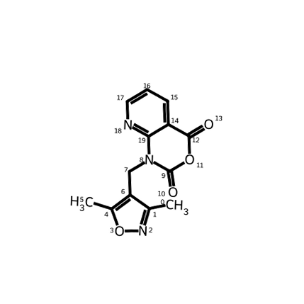 Cc1noc(C)c1Cn1c(=O)oc(=O)c2cccnc21